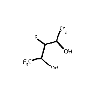 OC(C(F)C(O)C(F)(F)F)C(F)(F)F